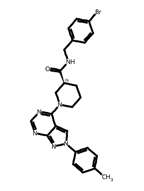 Cc1ccc(-n2cc3c(N4CCC[C@H](C(=O)NCc5ccc(Br)cc5)C4)ncnc3n2)cc1